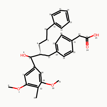 COc1cc(C(O)[C@H](CCCc2ccccc2)Cc2ccc(CC(=O)O)cc2)cc(OC)c1C